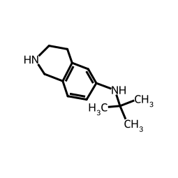 CC(C)(C)Nc1ccc2c(c1)CCNC2